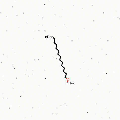 CCCCCCCCCCCCCCCCCCCCCCC[CH]OCCCCCC